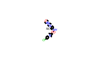 Cc1cc(OC(=O)Nc2ccc(N3CCN(N4CCOCC4)CC3)c(C#N)c2)c(C)n1-c1ccc(Cl)cc1